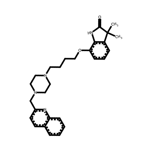 CC1(C)C(=O)Nc2c(OCCCCN3CCN(Cc4ccc5ccccc5n4)CC3)cccc21